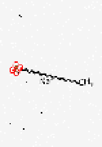 CCCCCCCCCCCCCCCCC=CC=COS(=O)(=O)[O-].[Na+]